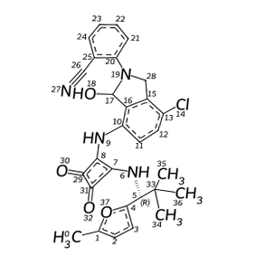 Cc1ccc([C@H](Nc2c(Nc3ccc(Cl)c4c3C(O)N(c3ccccc3C#N)C4)c(=O)c2=O)C(C)(C)C)o1